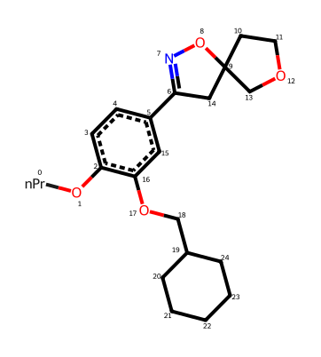 CCCOc1ccc(C2=NOC3(CCOC3)C2)cc1OCC1CCCCC1